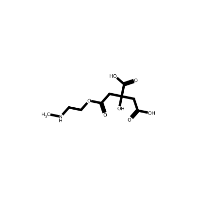 CNCCOC(=O)CC(O)(CC(=O)O)C(=O)O